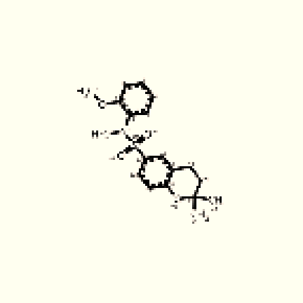 COc1ccccc1N(C)S(=O)(=O)c1ccc2c(c1)CCC(C)(C)O2